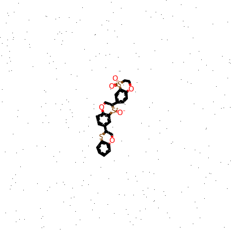 O=S1(=O)CCOc2ccc(C3COc4ccc(C5COc6ccccc6S5)cc4[S+]3[O-])cc21